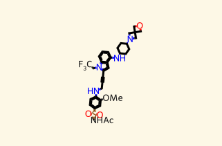 COc1cc(S(=O)(=O)NC(C)=O)ccc1NCC#Cc1cc2c(N[C@H]3CC[C@H](N4CC5(COC5)C4)CC3)cccc2n1CC(F)(F)F